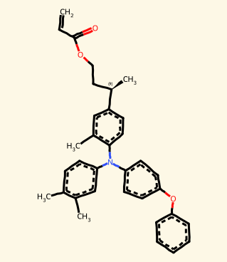 C=CC(=O)OCC[C@@H](C)c1ccc(N(c2ccc(Oc3ccccc3)cc2)c2ccc(C)c(C)c2)c(C)c1